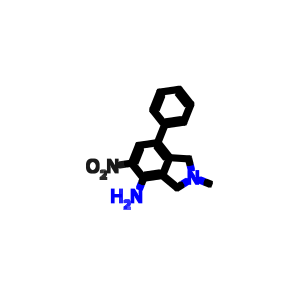 CN1Cc2c(-c3ccccc3)cc([N+](=O)[O-])c(N)c2C1